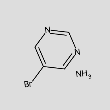 Brc1cncnc1.N